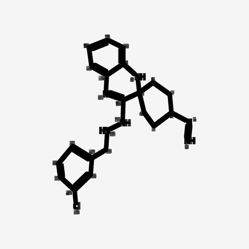 N=NC1CCC2(CC1)Nc1ccccc1N=C2NNCc1cccc(Cl)c1